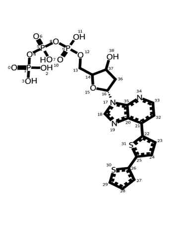 O=P(O)(O)OP(=O)(O)OP(=O)(O)OCC1O[C@@H](n2cnc3c(-c4ccc(-c5cccs5)s4)ccnc32)CC1O